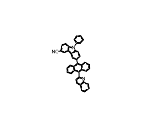 N#Cc1ccc2c(c1)c1cc(-c3c4ccccc4c(-c4ccc5ccccc5n4)c4ccccc34)ccc1n2-c1ccccc1